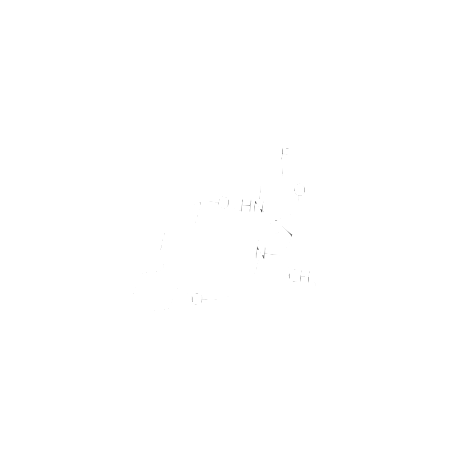 CC1C[C@@]2(COC(F)CN2)C2COC3CCC(CC3)C3CCCCC3OCCCN12